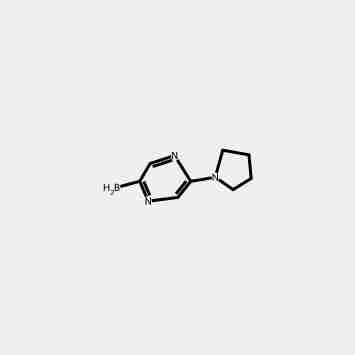 Bc1cnc(N2CCCC2)cn1